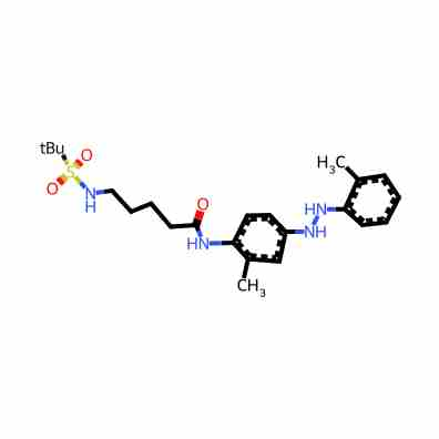 Cc1ccccc1NNc1ccc(NC(=O)CCCCNS(=O)(=O)C(C)(C)C)c(C)c1